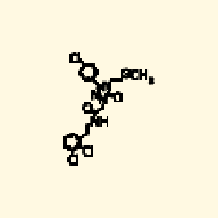 COCCn1c(-c2ccc(Cl)cc2)nn(CC(=O)NCCc2cccc(Cl)c2Cl)c1=O